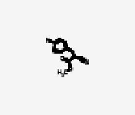 COC(=O)C(C#N)Cc1ccc(F)cc1